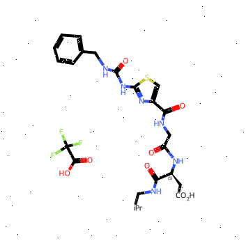 CC(C)CNC(=O)[C@H](CC(=O)O)NC(=O)CNC(=O)c1csc(NC(=O)NCc2ccccc2)n1.O=C(O)C(F)(F)F